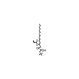 C=CC(=O)OC(CCCCCCCCCCCC)C/[P+]([O-])=C(\O)C[N+](C)(C)C